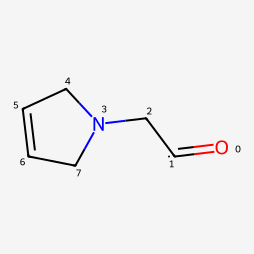 O=[C]CN1CC=CC1